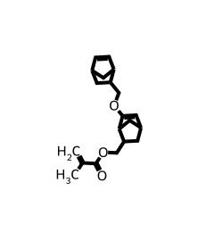 C=C(C)C(=O)OCC1CC2C=C(OCC3CC4C=CC3C4)C1C2